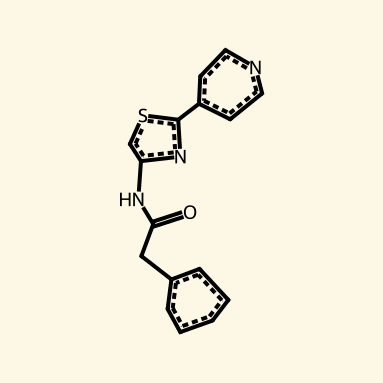 O=C(Cc1ccccc1)Nc1csc(-c2ccncc2)n1